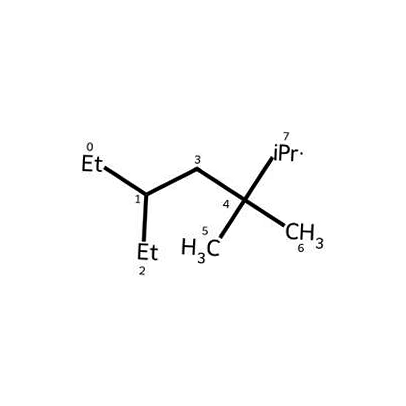 CCC(CC)CC(C)(C)[C](C)C